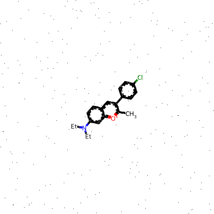 CCN(CC)c1ccc2cc(-c3ccc(Cl)cc3)c(C)[o+]c2c1